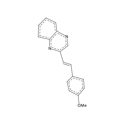 COc1ccc(/C=C/c2cnc3ccccc3n2)cc1